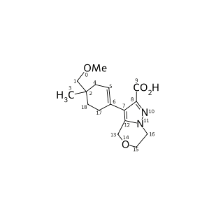 COCC1(C)CC=C(c2c(C(=O)O)nn3c2COCC3)CC1